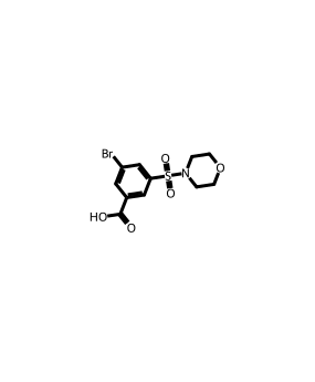 O=C(O)c1cc(Br)cc(S(=O)(=O)N2CCOCC2)c1